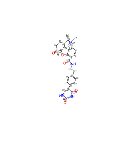 CN1CCC23c4c5ccc(C(=O)NCCc6ccc(-c7c[nH]c(=O)[nH]c7=O)cc6)c4O[C@H]2C(=O)CCC3[C@H]1C5